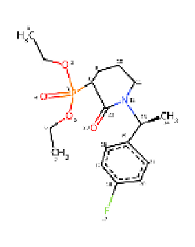 CCOP(=O)(OCC)C1CCCN([C@@H](C)c2ccc(F)cc2)C1=O